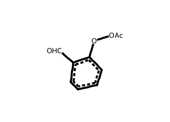 CC(=O)OOc1ccccc1C=O